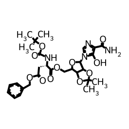 CC(C)(C)OC(=O)N[C@@H](CC(=O)OCc1ccccc1)C(=O)OCC1OC(n2cnc(C(N)=O)c2O)C2OC(C)(C)OC12